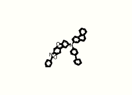 c1ccc(-c2ccc(N(c3ccc4c(ccc5ccccc54)c3)c3ccc4oc5cc6nc(-c7ccccc7)oc6cc5c4c3)cc2)cc1